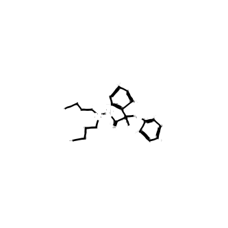 CCCCN(CCCC)NC(=O)C(C)(Oc1ccccc1)c1ccccc1